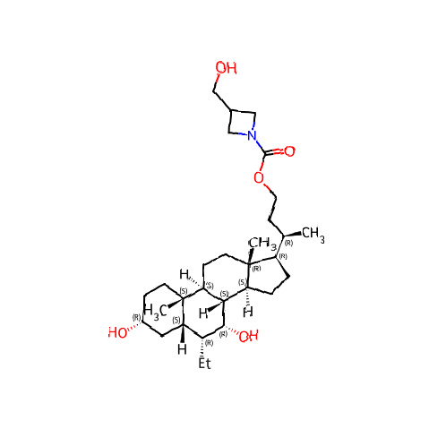 CC[C@H]1[C@@H](O)[C@@H]2[C@H](CC[C@]3(C)[C@@H]([C@H](C)CCOC(=O)N4CC(CO)C4)CC[C@@H]23)[C@@]2(C)CC[C@@H](O)C[C@@H]12